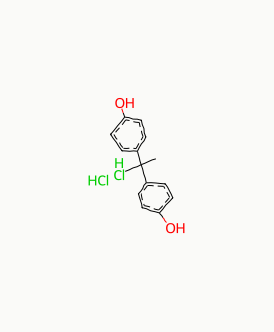 CC(C)(c1ccc(O)cc1)c1ccc(O)cc1.Cl.Cl